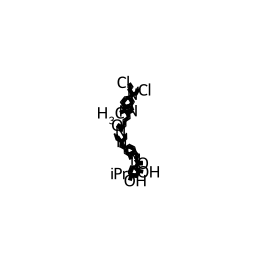 CC(C)c1cc(C(=O)N2Cc3ccc(CN4CCN(C(=O)CCCc5nc6cc(N(CCCl)CCCl)ccc6n5C)CC4)cc3C2)c(O)cc1O